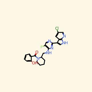 O=C(c1ccccc1O)N1CCCCC1CNc1nc(-c2c[nH]c3ncc(Cl)cc23)ncc1F